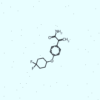 C=C(C(N)=O)c1ccc(OC2CCC(F)(F)CC2)cc1